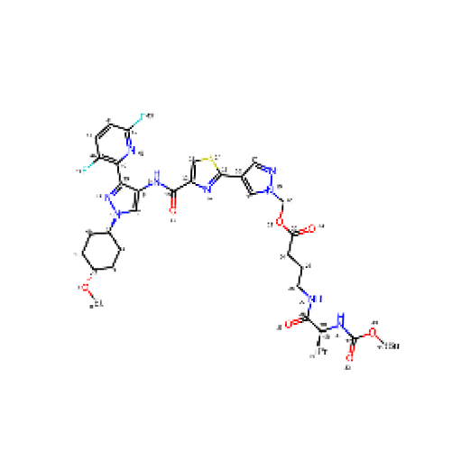 CCO[C@H]1CC[C@H](n2cc(NC(=O)c3csc(-c4cnn(COC(=O)CCCNC(=O)[C@@H](NC(=O)OC(C)(C)C)C(C)C)c4)n3)c(-c3nc(F)ccc3F)n2)CC1